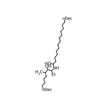 CCCCCCCCCCCCCCCCCCCCCCCC(O)NC(CC)C(O)C(C)CCCCCCCCCCCCCC